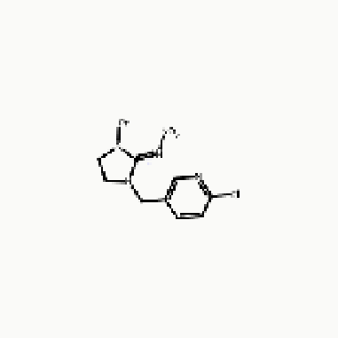 CC(C)N1CCN(Cc2ccc(Cl)nc2)/C1=N/[N+](=O)[O-]